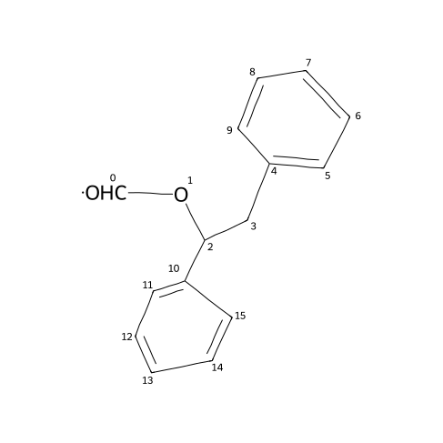 O=[C]OC(Cc1ccccc1)c1ccccc1